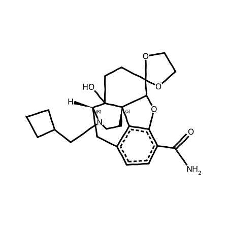 NC(=O)c1ccc2c3c1OC1C4(CCC5(O)[C@@H](C2)N(CC2CCC2)CC[C@]315)OCCO4